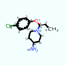 CC[C@H](Oc1ccc(Cl)cc1)N1CCC(N)CC1